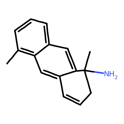 Cc1cccc2cc3c(cc12)C=CCC3(C)N